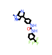 Cn1ncc2c(-c3ccc(NC(=O)Nc4ccc(F)c(C(F)(F)F)c4)cc3)cncc21